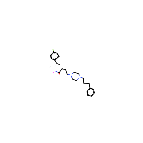 CO[C@H](C[C@H](CCN1CCN(CCCc2ccccc2)CC1)C(=O)NO)c1ccc(F)cc1